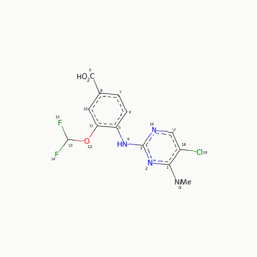 CNc1nc(Nc2ccc(C(=O)O)cc2OC(F)F)ncc1Cl